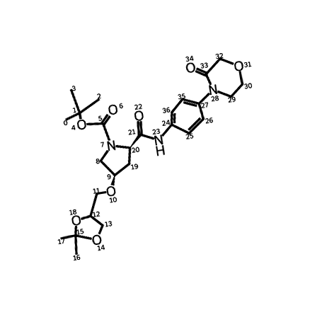 CC(C)(C)OC(=O)N1C[C@H](OCC2COC(C)(C)O2)C[C@@H]1C(=O)Nc1ccc(N2CCOCC2=O)cc1